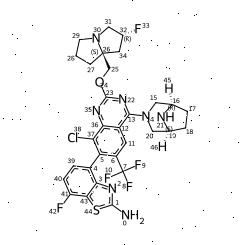 Nc1nc2c(-c3c(C(F)(F)F)cc4c(N5C[C@H]6CC[C@@H](C5)N6)nc(OC[C@@]56CCCN5C[C@H](F)C6)nc4c3Cl)ccc(F)c2s1